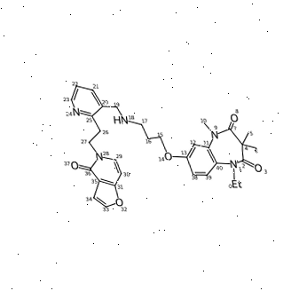 CCN1C(=O)C(C)(C)C(=O)N(C)c2cc(OCCCNCc3cccnc3CCn3ccc4occc4c3=O)ccc21